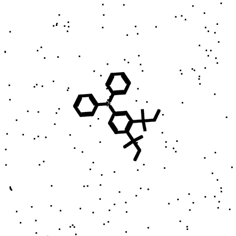 CCC(C)(C)c1ccc(N(c2ccccc2)c2ccccc2)cc1C(C)(C)CC